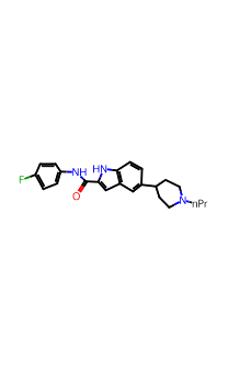 CCCN1CCC(c2ccc3[nH]c(C(=O)Nc4ccc(F)cc4)cc3c2)CC1